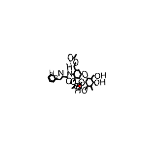 CC(=O)OCC1CC(OC2CC(O)C(C)C(O)C2CO)C(OC(C)=O)C(OC(C)=O)C1NC(=O)C(N)Cc1ccccc1